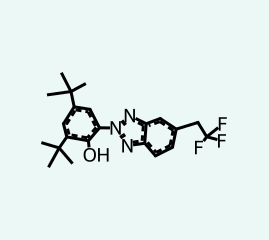 CC(C)(C)c1cc(-n2nc3ccc(CC(F)(F)F)cc3n2)c(O)c(C(C)(C)C)c1